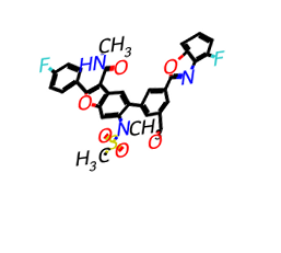 CNC(=O)c1c(-c2ccc(F)cc2)oc2cc(N(C)S(C)(=O)=O)c(-c3cc(C=O)cc(-c4nc5c(F)cccc5o4)c3)cc12